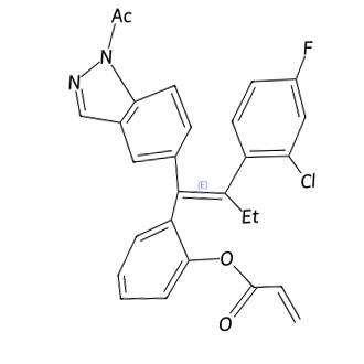 C=CC(=O)Oc1ccccc1/C(=C(\CC)c1ccc(F)cc1Cl)c1ccc2c(cnn2C(C)=O)c1